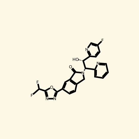 O=C1c2cc(-c3nnc(C(F)F)o3)ccc2CN1[C@@H](c1ccccn1)[C@H](O)c1ccc(F)cn1